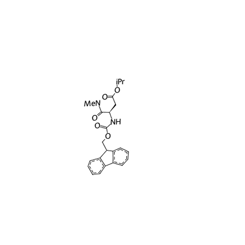 CNC(=O)[C@@H](CC(=O)OC(C)C)NC(=O)OCC1c2ccccc2-c2ccccc21